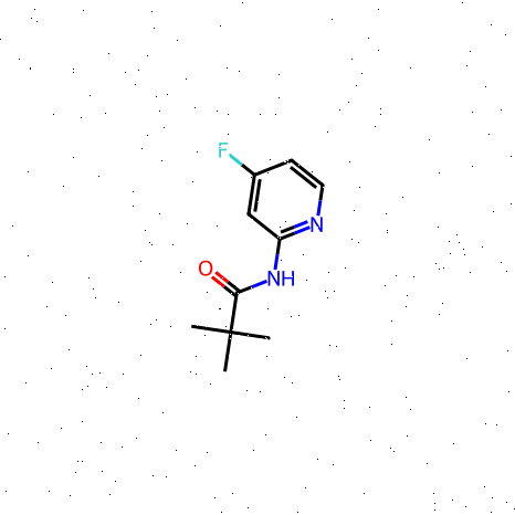 CC(C)(C)C(=O)Nc1cc(F)ccn1